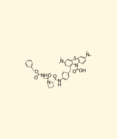 CN(C)c1ccc2c(c1)Sc1cc(N(C)C)cc(Cc3ccc(NC(=O)[C@@H]4CCCN4C(=O)CNC(=O)OCc4ccccc4)cc3)c1N2C(=O)O